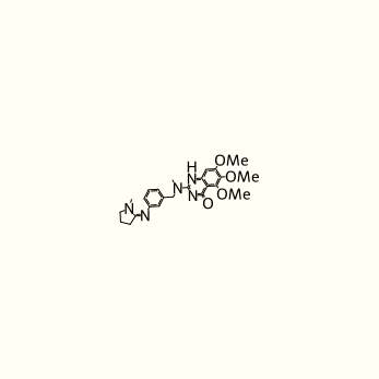 COc1cc2[nH]c(N(C)Cc3cccc(N=C4CCCN4C)c3)nc(=O)c2c(OC)c1OC